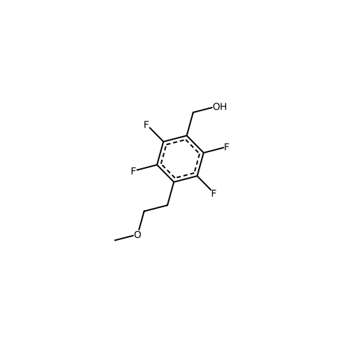 COCCc1c(F)c(F)c(CO)c(F)c1F